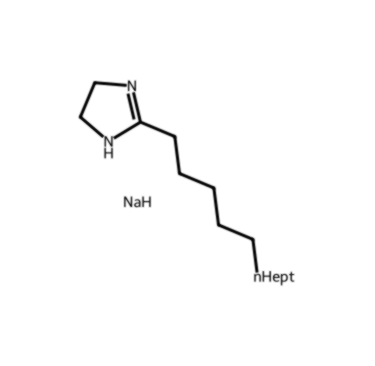 CCCCCCCCCCCCC1=NCCN1.[NaH]